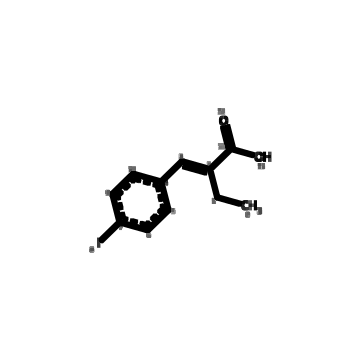 CC/C(=C\c1ccc(I)cc1)C(=O)O